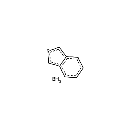 B.c1ccc2cscc2c1